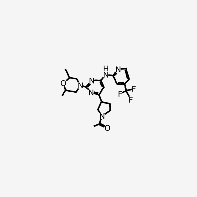 CC(=O)N1CCC(c2cc(Nc3cc(C(F)(F)F)ccn3)nc(N3CC(C)OC(C)C3)n2)C1